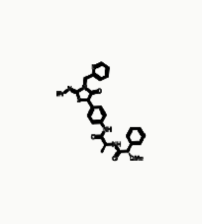 CO[C@H](C(=O)N[C@@H](C)C(=O)Nc1ccc(C2S/C(=N\C(C)C)N(Cc3ccccn3)C2=O)cc1)c1ccccc1